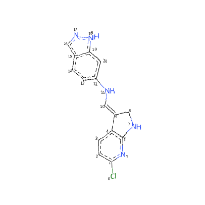 Clc1ccc2c(n1)NCC2=CNc1ccc2cn[nH]c2c1